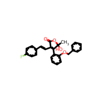 CC1(O)OC(=O)C(C=Cc2ccc(F)cc2)=C1c1ccccc1OCc1ccccc1